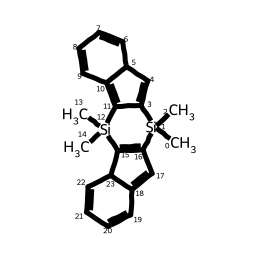 C[Si]1(C)C2=CC3C=CC=CC3=C2[Si](C)(C)C2=C1C=C1C=CC=CC12